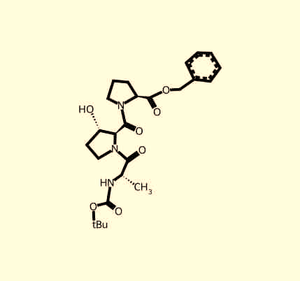 C[C@H](NC(=O)OC(C)(C)C)C(=O)N1CC[C@H](O)[C@H]1C(=O)N1CCC[C@H]1C(=O)OCc1ccccc1